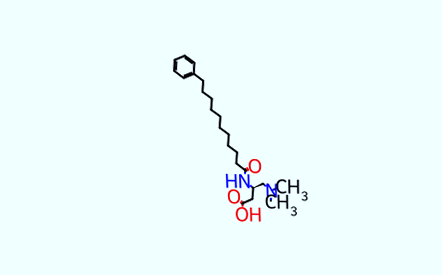 CN(C)C[C@@H](CC(=O)O)NC(=O)CCCCCCCCCCc1ccccc1